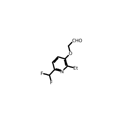 CCc1nc(C(F)F)ccc1OCC=O